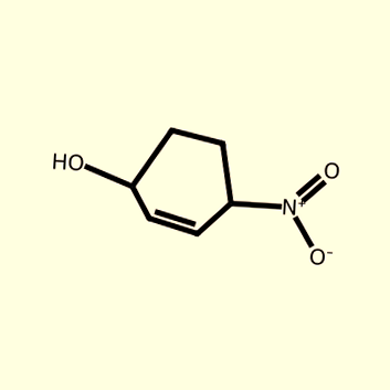 O=[N+]([O-])C1C=CC(O)CC1